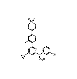 Cc1cc(N2CCS(=O)(=O)CC2)ncc1-c1cc(C2CC2)cc(N(C(=O)O)c2cc(C#N)ccn2)n1